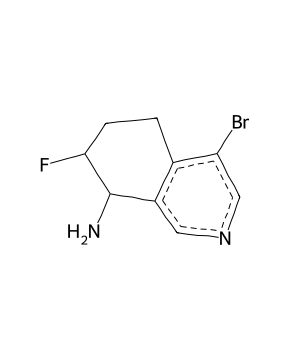 NC1c2cncc(Br)c2CCC1F